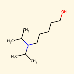 CC(C)N(CCCCCO)C(C)C